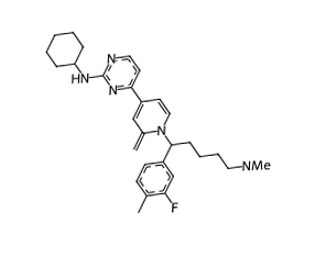 C=C1C=C(c2ccnc(NC3CCCCC3)n2)C=CN1C(CCCCNC)c1ccc(C)c(F)c1